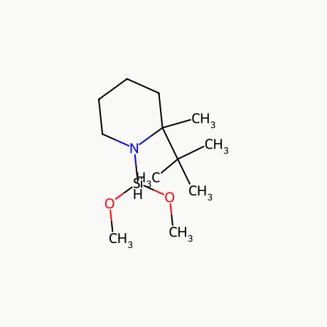 CO[SiH](OC)N1CCCCC1(C)C(C)(C)C